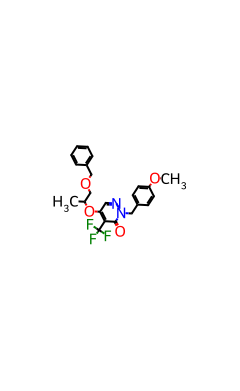 COc1ccc(Cn2ncc(OC(C)COCc3ccccc3)c(C(F)(F)F)c2=O)cc1